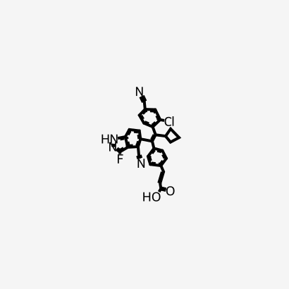 N#Cc1ccc(C(=C(c2ccc(C=CC(=O)O)cc2)c2ccc3[nH]nc(F)c3c2C#N)C2CCC2)c(Cl)c1